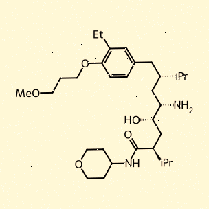 CCc1cc(C[C@@H](C[C@H](N)[C@@H](O)C[C@H](C(=O)NC2CCOCC2)C(C)C)C(C)C)ccc1OCCCOC